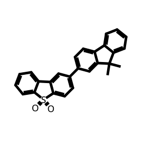 CC1(C)c2ccccc2-c2ccc(-c3ccc4c(c3)-c3ccccc3S4(=O)=O)cc21